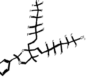 CC1(c2ccccc2)OCC(C)(C)C(CCC(F)(F)C(F)(F)C(F)(F)C(F)(F)C(F)(F)C(F)(F)F)(CCC(F)(F)C(F)(F)C(F)(F)C(F)(F)C(F)(F)C(F)(F)F)O1